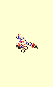 CCN(Sc1cc(-c2nn(CC(O)CN3CCC(N4CCCC4=O)CC3)c3c2CN(S(C)(=O)=O)CC3)ccc1C(F)(F)F)C(=O)CCCNC(=O)OC(C)(C)C